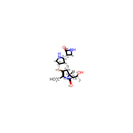 C[C@@H](O)[C@H]1C(=O)N2C(C(=O)O)=C(S[C@@H]3CN[C@H](C4CNC4=O)C3)[C@H](C)[C@H]12